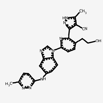 Cc1ccc(Nc2ccc3c(c2)ncn3-c2ccc(CCO)c(-c3n[nH]c(C)c3C#N)n2)nn1